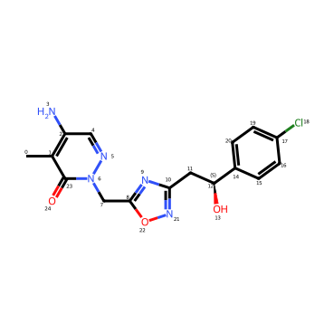 Cc1c(N)cnn(Cc2nc(C[C@H](O)c3ccc(Cl)cc3)no2)c1=O